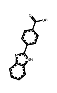 O=C(O)c1ccc(-c2nc3c[c]ccc3[nH]2)cc1